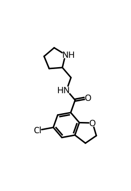 O=C(NCC1CCCN1)c1cc(Cl)cc2c1OCC2